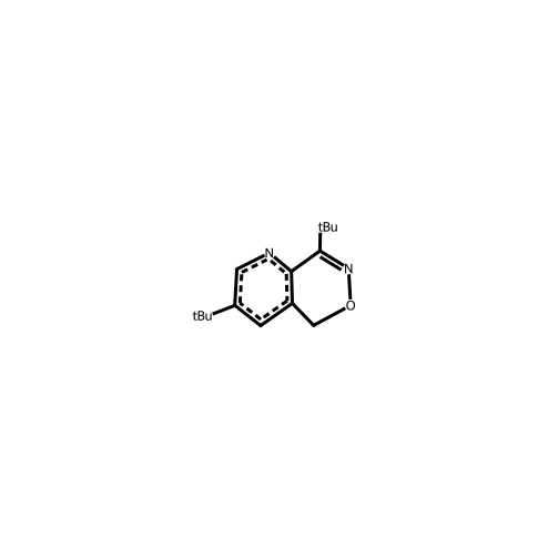 CC(C)(C)C1=NOCc2cc(C(C)(C)C)cnc21